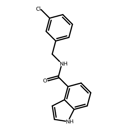 O=C(NCc1cccc(Cl)c1)c1cccc2[nH]ccc12